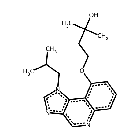 CC(C)Cn1cnc2cnc3cccc(OCCC(C)(C)O)c3c21